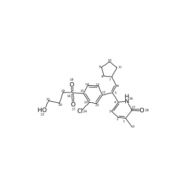 Cc1ccc(C(=CC2CCCC2)c2ccc(S(=O)(=O)CCCO)c(Cl)c2)[nH]c1=O